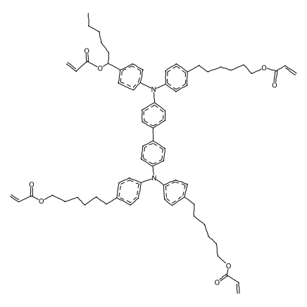 C=CC(=O)OCCCCCCc1ccc(N(c2ccc(CCCCCCOC(=O)C=C)cc2)c2ccc(-c3ccc(N(c4ccc(CCCCCCOC(=O)C=C)cc4)c4ccc(C(CCCCC)OC(=O)C=C)cc4)cc3)cc2)cc1